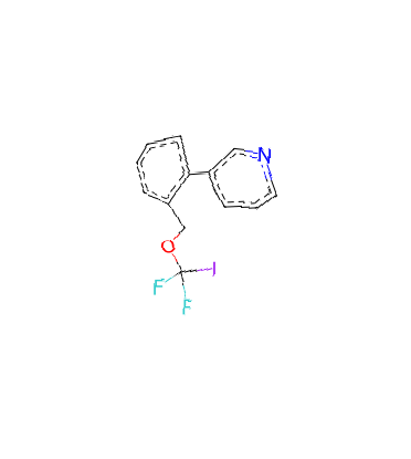 FC(F)(I)OCc1ccccc1-c1cccnc1